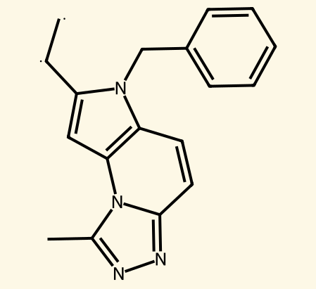 [CH2][CH]c1cc2c(ccc3nnc(C)n32)n1Cc1ccccc1